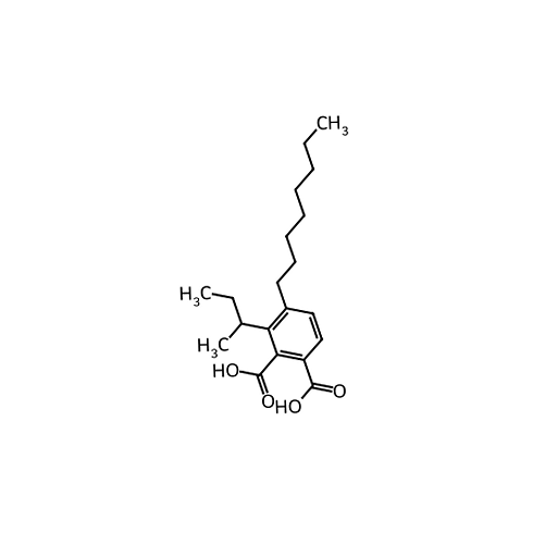 CCCCCCCCc1ccc(C(=O)O)c(C(=O)O)c1C(C)CC